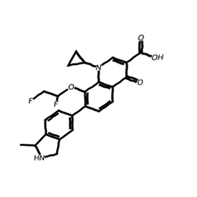 CC1NCc2cc(-c3ccc4c(=O)c(C(=O)O)cn(C5CC5)c4c3OC(F)CF)ccc21